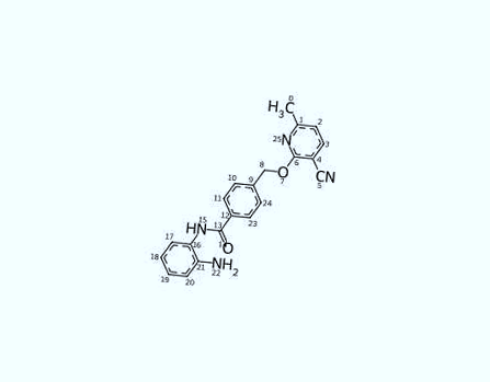 Cc1ccc(C#N)c(OCc2ccc(C(=O)Nc3ccccc3N)cc2)n1